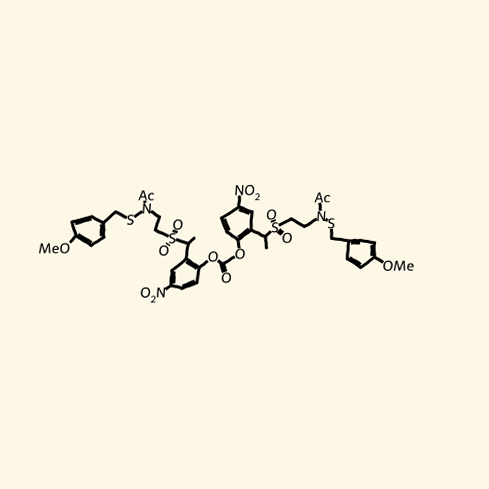 COc1ccc(CSN(CCS(=O)(=O)C(C)c2cc([N+](=O)[O-])ccc2OC(=O)Oc2ccc([N+](=O)[O-])cc2C(C)S(=O)(=O)CCN(SCc2ccc(OC)cc2)C(C)=O)C(C)=O)cc1